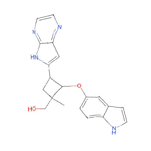 CC1(CO)CC(c2cc3nccnc3[nH]2)C1Oc1ccc2[nH]ccc2c1